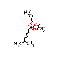 CCCCO[Si](CCCCCC(C)C)(OC)OC